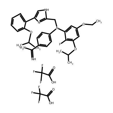 CCOc1cc(OC(C)C)c(F)c(N(Cc2nc(-c3ccccc3OC(C)C)c[nH]2)c2ccc(C(=N)N)cc2)c1.O=C(O)C(F)(F)F.O=C(O)C(F)(F)F